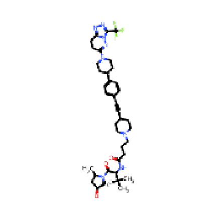 CC1CC(=O)CN1C(=O)C(NC(=O)CCCN1CCC(C#Cc2ccc(C3CCN(C4=Nn5c(nnc5C(F)(F)F)CC4)CC3)cc2)CC1)C(C)(C)C